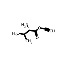 C#COC(=O)[C@@H](N)C(C)C